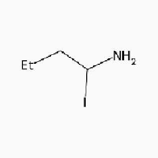 CCCC(N)I